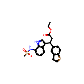 CCOC(=O)CC(c1ccc2sccc2c1)c1c[nH]c2c(NS(C)(=O)=O)cccc12